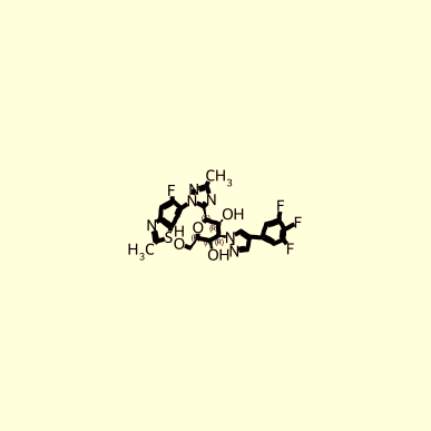 Cc1nc([C@@H]2O[C@H](CO)[C@H](O)[C@H](n3cc(-c4cc(F)c(F)c(F)c4)cn3)[C@H]2O)n(-c2cc3sc(C)nc3cc2F)n1